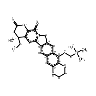 CC[C@@]1(O)CC(=O)Oc2c1cc1n(c2=O)Cc2cc3c(SC[Si](C)(C)C)c4c(cc3nc2-1)OCCO4